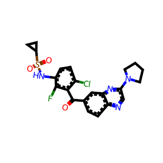 O=C(c1ccc2ncc(N3CCCC3)nc2c1)c1c(Cl)ccc(NS(=O)(=O)C2CC2)c1F